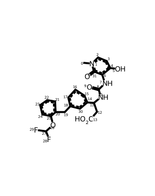 Cn1ccc(O)c(NC(=O)NC(CC(=O)O)c2cccc(Cc3ccccc3OC(F)F)c2)c1=O